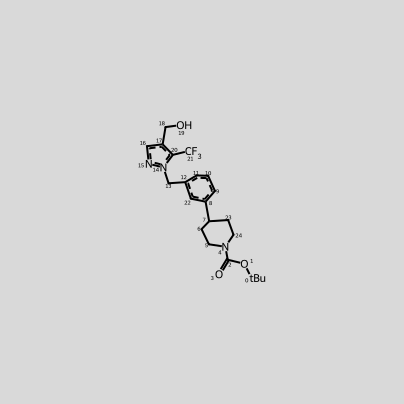 CC(C)(C)OC(=O)N1CCC(c2cccc(Cn3ncc(CO)c3C(F)(F)F)c2)CC1